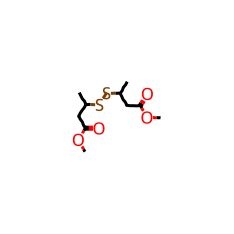 COC(=O)CC(C)SSC(C)CC(=O)OC